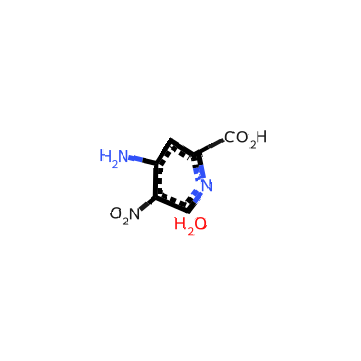 Nc1cc(C(=O)O)ncc1[N+](=O)[O-].O